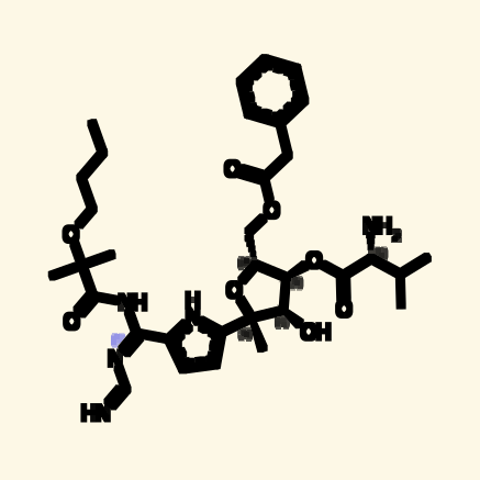 CCCCOC(C)(C)C(=O)N/C(=N/C=N)c1ccc([C@]2(C)O[C@H](COC(=O)Cc3ccccc3)[C@@H](OC(=O)[C@H](N)C(C)C)[C@H]2O)[nH]1